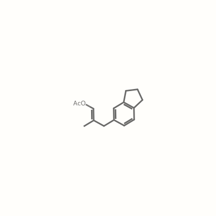 CC(=O)OC=C(C)Cc1ccc2c(c1)CCC2